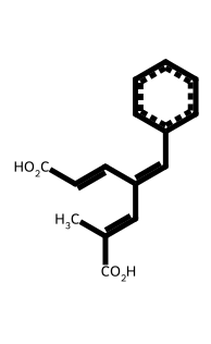 CC(=CC(C=CC(=O)O)=Cc1ccccc1)C(=O)O